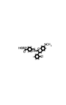 CSc1ccc(C=C(C(=O)NCc2ccc(C(=O)NO)cc2)c2ccccc2Cl)cc1